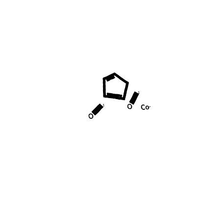 C1=CCC=C1.[C]=O.[C]=O.[Co]